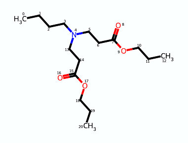 CCCCN(CCC(=O)OCCC)CCC(=O)OCCC